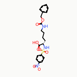 O=C(NCCCC[C@H](NS(=O)(=O)c1ccc([N+](=O)[O-])cc1)C(=O)O)OCc1ccccc1